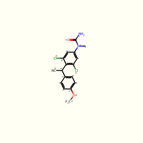 CN(C(N)=O)c1cc(Cl)c(C(C#N)c2ccc(OC(F)(F)F)cc2)c(Cl)c1